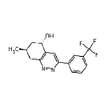 C[C@@H]1Cc2nnc(-c3cccc(C(F)(F)F)c3)cc2[C@@H](O)C1